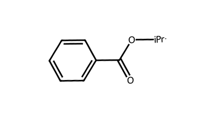 C[C](C)OC(=O)c1ccccc1